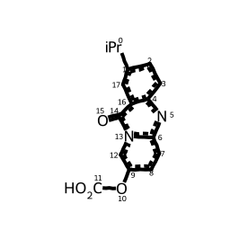 CC(C)c1ccc2nc3ccc(OC(=O)O)cn3c(=O)c2c1